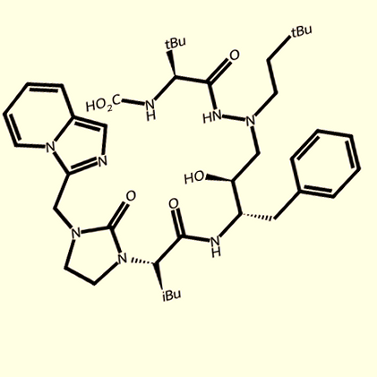 CC[C@H](C)[C@@H](C(=O)N[C@@H](Cc1ccccc1)[C@@H](O)CN(CCC(C)(C)C)NC(=O)[C@@H](NC(=O)O)C(C)(C)C)N1CCN(Cc2ncc3ccccn23)C1=O